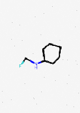 FCNC1CCCCC1